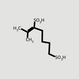 CC(C)=C(CCCCS(=O)(=O)O)S(=O)(=O)O